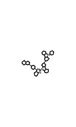 c1ccc(-n2c3ccccc3c3cc(-c4ccc5c(c4)c4ccccc4n5-c4nc(-c5ccc(-c6ccc7ccccc7c6)cc5)c5ccccc5n4)ccc32)cc1